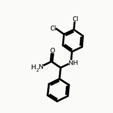 NC(=O)C(Nc1ccc(Cl)c(Cl)c1)c1ccccc1